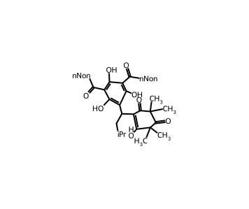 CCCCCCCCCC(=O)c1c(O)c(C(=O)CCCCCCCCC)c(O)c(C(CC(C)C)C2=C(O)C(C)(C)C(=O)C(C)(C)C2=O)c1O